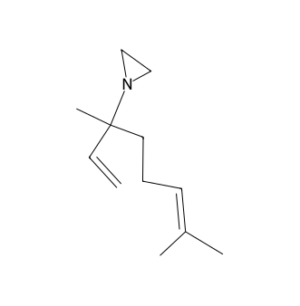 C=CC(C)(CCC=C(C)C)N1CC1